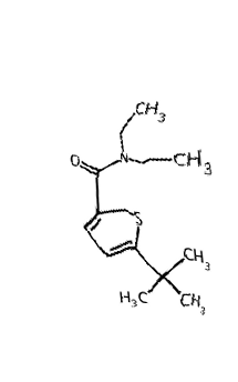 CCN(CC)C(=O)c1ccc(C(C)(C)C)s1